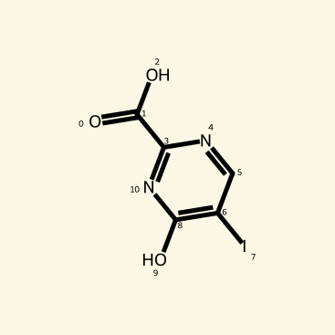 O=C(O)c1ncc(I)c(O)n1